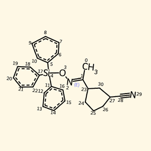 C/C(=N\O[Si](c1ccccc1)(c1ccccc1)c1ccccc1)C1CCCC(C#N)C1